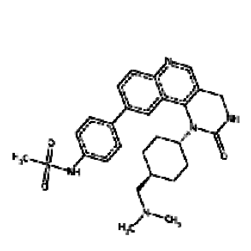 CN(C)C[C@H]1CC[C@H](N2C(=O)NCc3cnc4ccc(-c5ccc(NS(C)(=O)=O)cc5)cc4c32)CC1